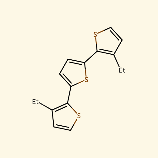 CCc1ccsc1-c1ccc(-c2sccc2CC)s1